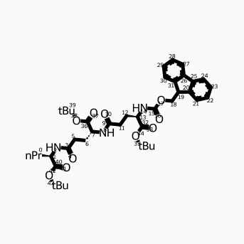 CCC[C@@H](NC(=O)CC[C@@H](NC(=O)CC[C@@H](NC(=O)OCC1c2ccccc2-c2ccccc21)C(=O)OC(C)(C)C)C(=O)OC(C)(C)C)C(=O)OC(C)(C)C